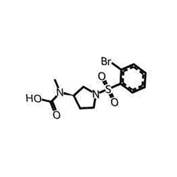 CN(C(=O)O)[C@@H]1CCN(S(=O)(=O)c2ccccc2Br)C1